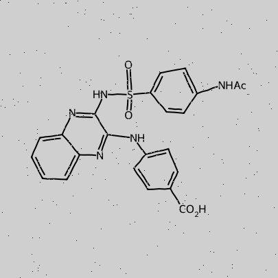 CC(=O)Nc1ccc(S(=O)(=O)Nc2nc3ccccc3nc2Nc2ccc(C(=O)O)cc2)cc1